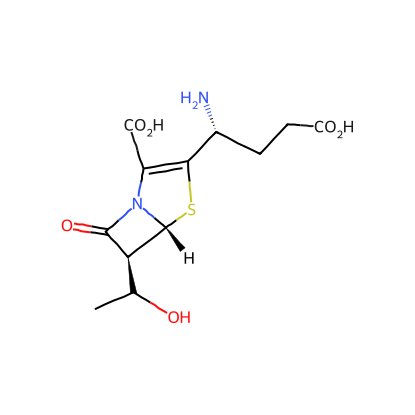 CC(O)[C@H]1C(=O)N2C(C(=O)O)=C([C@H](N)CCC(=O)O)S[C@H]12